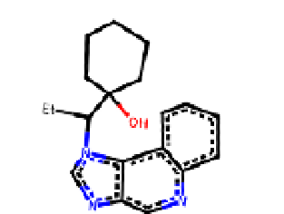 CCC(n1cnc2cnc3ccccc3c21)C1(O)CCCCC1